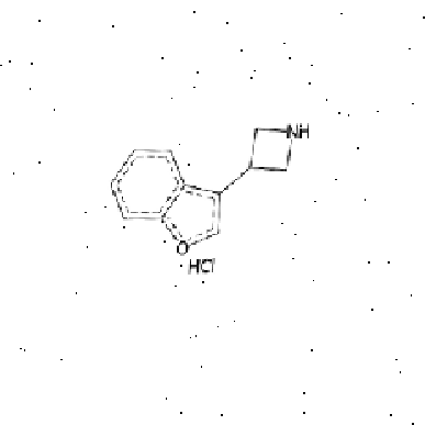 Cl.c1ccc2c(C3CNC3)coc2c1